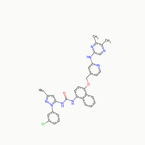 Cc1ncc(Nc2cc(COc3ccc(NC(=O)Nc4cc(C(C)(C)C)nn4-c4cccc(Cl)c4)c4ccccc34)ccn2)nc1C